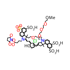 CC[N+]1=C(/C=C/C2=C(Cl)C(=C/C=C3/N(CCCC(=O)ON4C(=O)CCC4=O)c4ccc5c(S(=O)(=O)[O-])cc(S(=O)(=O)O)cc5c4C3(C)CCOCCOCCOCCOCCOC)/CCC2)C(C)(CCCS(=O)(=O)O)c2c1ccc1c(S(=O)(=O)O)cc(S(=O)(=O)O)cc21